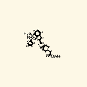 COC(=O)CN1CCC2(CC1)CN=C(C1Cc3cccc(N(C)S(=O)(=O)c4cccs4)c3N1)S2